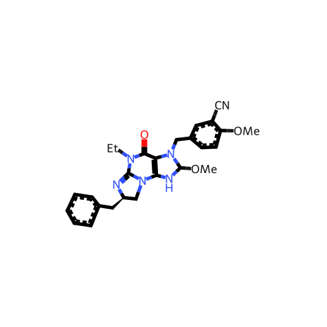 CCN1C(=O)C2=C(NC(OC)N2Cc2ccc(OC)c(C#N)c2)N2C[C@@H](Cc3ccccc3)N=C12